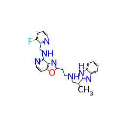 CC(CNCCc1nc2c(NCc3ncccc3F)nccc2o1)c1nc2ccccc2[nH]1